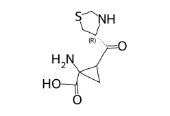 NC1(C(=O)O)CC1C(=O)[C@@H]1CSCN1